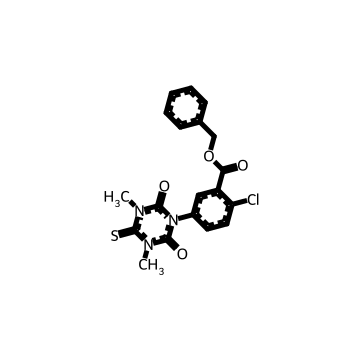 Cn1c(=S)n(C)c(=O)n(-c2ccc(Cl)c(C(=O)OCc3ccccc3)c2)c1=O